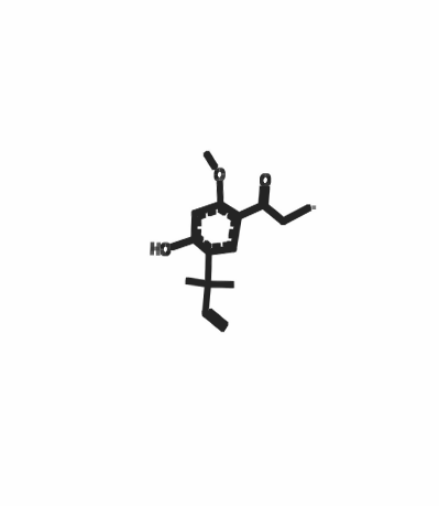 [CH2]CC(=O)c1cc(C(C)(C)C=C)c(O)cc1OC